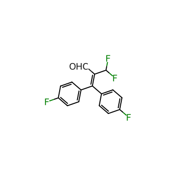 O=CC(=C(c1ccc(F)cc1)c1ccc(F)cc1)C(F)F